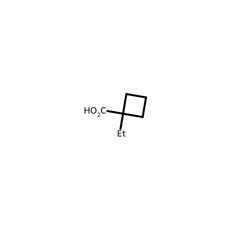 CCC1(C(=O)O)CCC1